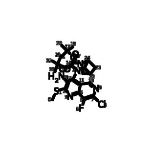 CSc1nc2c(F)c(Cl)ncc2c(N(C(=O)OC(C)(C)C)C2C3CC2N(C(=O)OC(C)(C)C)C3)c1N